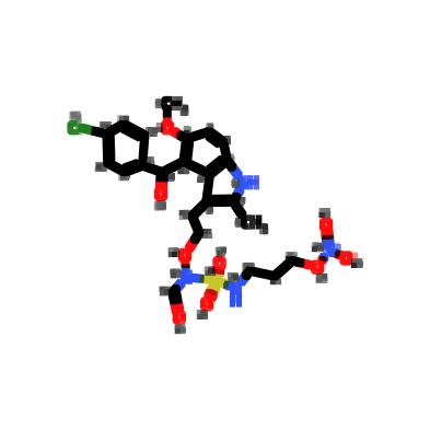 COc1ccc2[nH]c(C)c(CCON(C=O)S(=O)(=O)NCCCO[N+](=O)[O-])c2c1C(=O)c1ccc(Cl)cc1